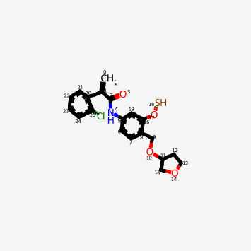 C=C(C(=O)Nc1ccc(COC2CCOC2)c(OS)c1)c1ccccc1Cl